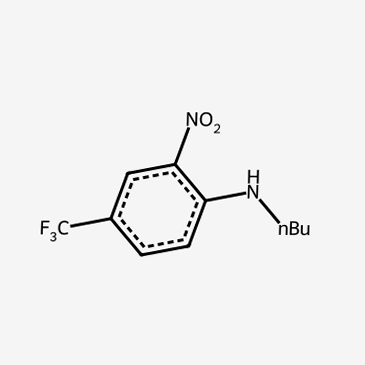 CCCCNc1ccc(C(F)(F)F)cc1[N+](=O)[O-]